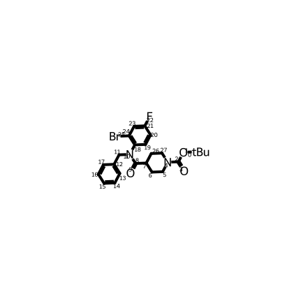 CC(C)(C)OC(=O)N1CCC(C(=O)N(Cc2ccccc2)c2ccc(F)cc2Br)CC1